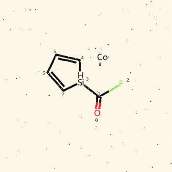 O=C(F)[SiH]1C=CC=C1.[Co]